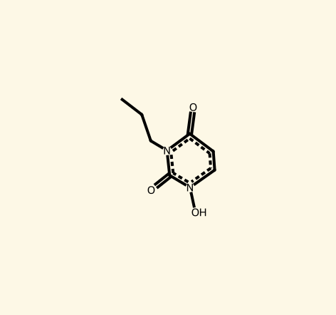 CCCn1c(=O)ccn(O)c1=O